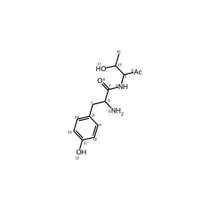 CC(=O)C(NC(=O)C(N)Cc1ccc(O)cc1)C(C)O